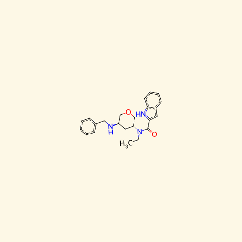 CCN(C(=O)c1cc2ccccc2[nH]1)[C@H]1COC[C@H](NCc2ccccc2)C1